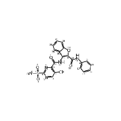 CCCS(=O)(=O)c1ncc(Cl)c(C(=O)Nc2c(C(=O)Nc3ccccc3)oc3ccccc23)n1